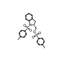 Cc1ccc(S(=O)(=O)OC[C@@H]2Cc3ccccc3N2S(=O)(=O)c2ccc(C)cc2)cc1